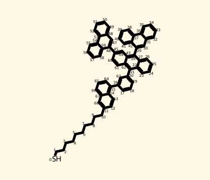 SCCCCCCCCCCc1ccc2c(-c3cccc(-c4c5ccccc5c(-c5cc6ccccc6c6ccccc56)c5cc(-c6cc7ccccc7c7ccccc67)ccc45)c3)cccc2c1